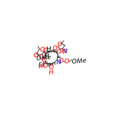 CC[C@H]1OC(=O)[C@H]2[C@@H](OC23CC2(OC)OC2C(C)O3)[C@H](C)[C@@H](OC2CC(N(C)C)CC(C)O2)[C@@](C)(O)C[C@@H](C)/C(=N\OCOCCOC)[C@H](C)[C@@H](O)[C@]1(C)O